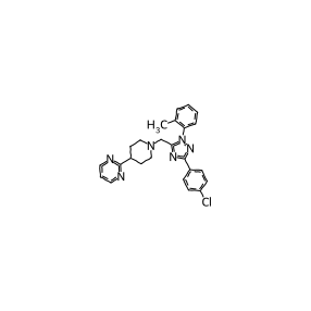 Cc1ccccc1-n1nc(-c2ccc(Cl)cc2)nc1CN1CCC(c2ncccn2)CC1